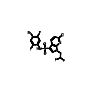 O=S(=O)(Nc1cc(F)c(Br)cc1F)c1cn(CC(F)F)c2nc(Cl)ccc12